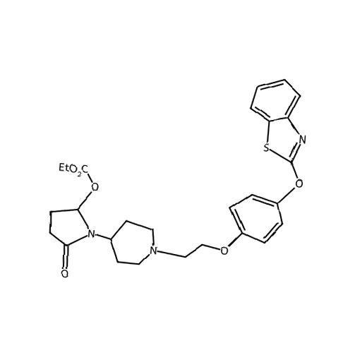 CCOC(=O)OC1CCC(=O)N1C1CCN(CCOc2ccc(Oc3nc4ccccc4s3)cc2)CC1